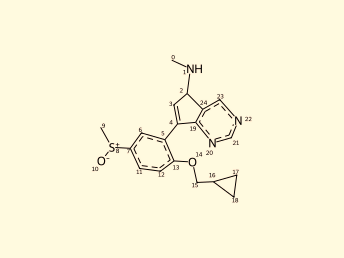 CNC1C=C(c2cc([S+](C)[O-])ccc2OCC2CC2)c2ncncc21